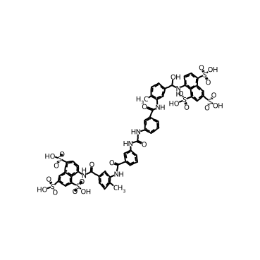 Cc1ccc(C(=O)Nc2ccc(S(=O)(=O)O)c3cc(S(=O)(=O)O)cc(S(=O)(=O)O)c23)cc1NC(=O)c1cccc(NC(=O)Nc2cccc(C(=O)Nc3cc(C(O)Nc4ccc(S(=O)(=O)O)c5cc(S(=O)(=O)O)cc(S(=O)(=O)O)c45)ccc3C)c2)c1